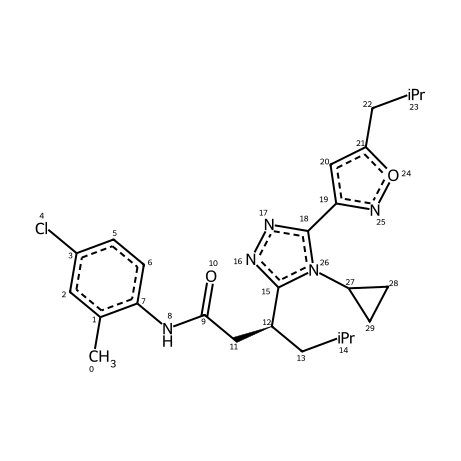 Cc1cc(Cl)ccc1NC(=O)C[C@H](CC(C)C)c1nnc(-c2cc(CC(C)C)on2)n1C1CC1